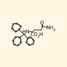 NC(=O)CCC(NC(c1ccccc1)(c1ccccc1)c1ccccc1)C(=O)O